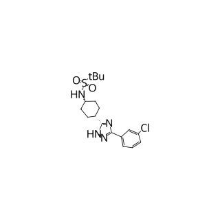 CC(C)(C)S(=O)(=O)N[C@H]1CC[C@H](c2nc(-c3cccc(Cl)c3)n[nH]2)CC1